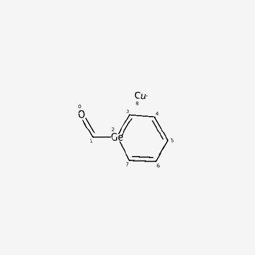 O=[CH][Ge]1=[CH]C=CC=[CH]1.[Cu]